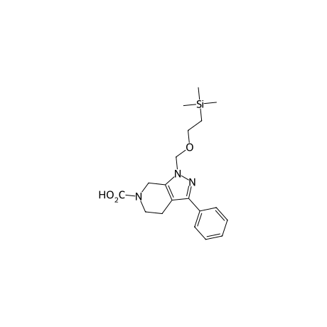 C[Si](C)(C)CCOCn1nc(-c2ccccc2)c2c1CN(C(=O)O)CC2